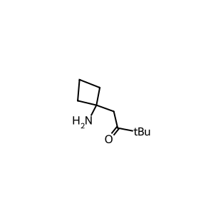 CC(C)(C)C(=O)CC1(N)CCC1